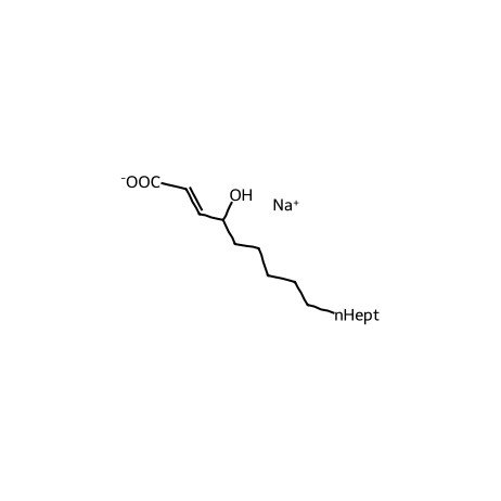 CCCCCCCCCCCCC(O)C=CC(=O)[O-].[Na+]